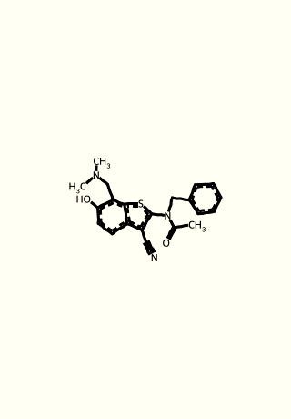 CC(=O)N(Cc1ccccc1)c1sc2c(CN(C)C)c(O)ccc2c1C#N